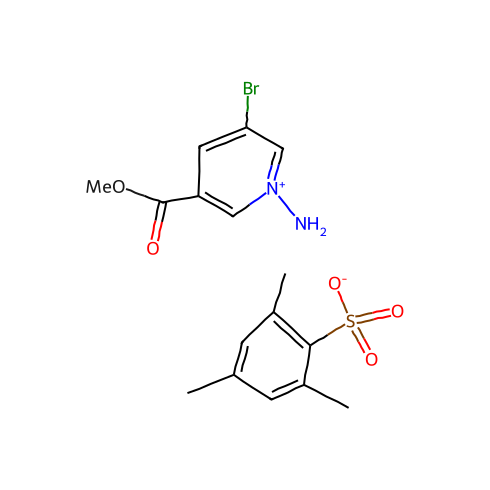 COC(=O)c1cc(Br)c[n+](N)c1.Cc1cc(C)c(S(=O)(=O)[O-])c(C)c1